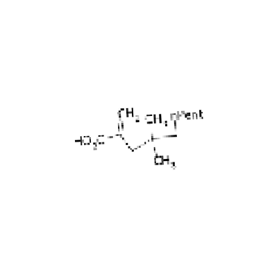 C=C(CC(C)(C)CCCCCC)C(=O)O